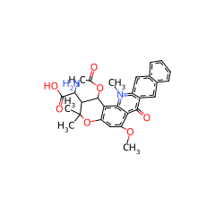 COc1cc2c(c3c1c(=O)c1cc4ccccc4cc1n3C)C(OC(C)=O)C(C(N)C(=O)O)C(C)(C)O2